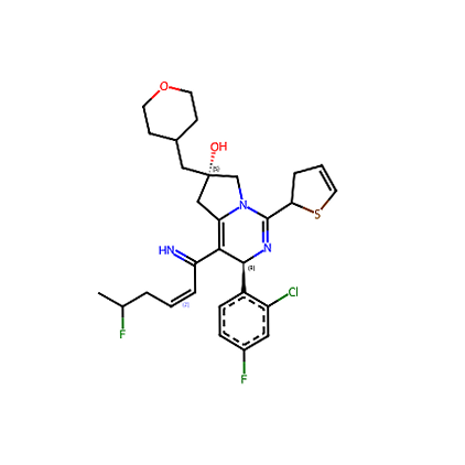 CC(F)C/C=C\C(=N)C1=C2C[C@@](O)(CC3CCOCC3)CN2C(C2CC=CS2)=N[C@H]1c1ccc(F)cc1Cl